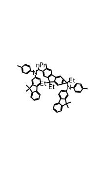 CCCC(c1cc2c(cc1C)-c1cc3c(cc1C2(CC)CC)C3(CC)N(c1ccc(C)cc1)c1ccc2c(c1)C(C)(C)c1ccccc1-2)N(c1ccc(C)cc1)c1ccc2c(c1)C(C)(C)c1ccccc1-2